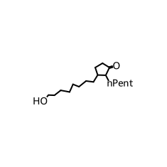 CCCCCC1C(=O)CCC1CCCCCCCCO